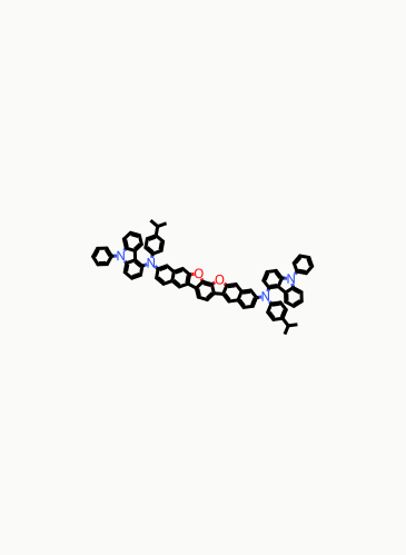 CC(C)c1ccc(N(c2ccc3cc4c(cc3c2)oc2c4ccc3c4cc5ccc(N(c6ccc(C(C)C)cc6)c6cccc7c6c6ccccc6n7-c6ccccc6)cc5cc4oc32)c2cccc3c2c2ccccc2n3-c2ccccc2)cc1